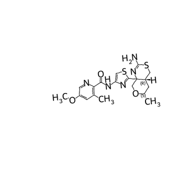 COc1cnc(C(=O)Nc2csc(C34CO[C@@H](C)C[C@H]3CSC(N)=N4)n2)c(C)c1